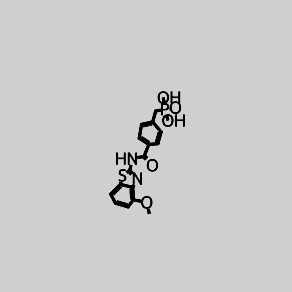 COc1cccc2sc(NC(=O)c3ccc(CP(=O)(O)O)cc3)nc12